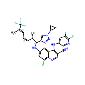 C=C(/C=C\C=C(/C)C(F)(F)F)[C@H](Nc1cc(Cl)c2ncc(C#N)c(Nc3cnc(F)c(F)c3)c2c1)c1cn(C2CC2)nn1